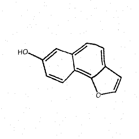 Oc1ccc2c(ccc3ccoc32)c1